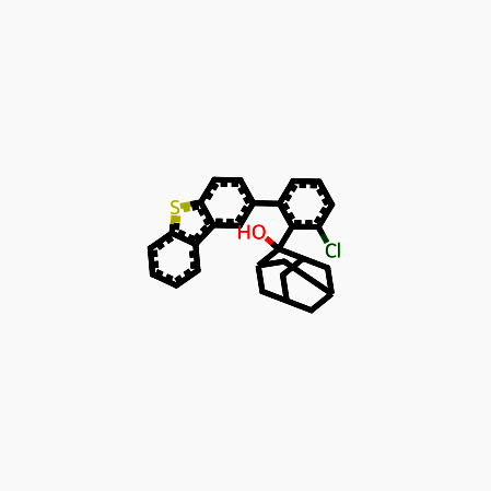 OC1(c2c(Cl)cccc2-c2ccc3sc4ccccc4c3c2)C2CC3CC(C2)CC1C3